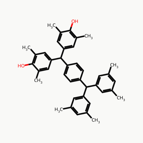 Cc1cc(C)cc(C(c2ccc(C(c3cc(C)c(O)c(C)c3)c3cc(C)c(O)c(C)c3)cc2)c2cc(C)cc(C)c2)c1